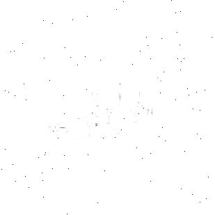 CC12C[C@@H](O)C(C)(O1)[C@H]1C(=O)N(c3ccc(C#N)n4nccc34)C(=O)[C@H]12